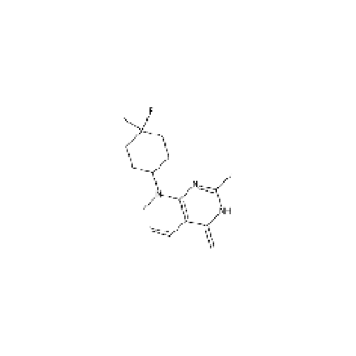 C=CC1=C(N(C)C2CCC(C)(F)CC2)N=C(C)NC1=C